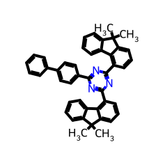 CC1(C)c2ccccc2-c2c(-c3nc(-c4ccc(-c5ccccc5)cc4)nc(-c4cccc5c4-c4ccccc4C5(C)C)n3)cccc21